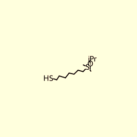 CC(C)O[Si](C)(C)CCCCCCCS